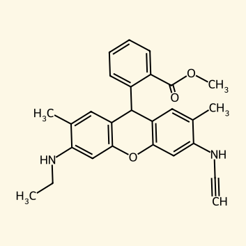 C#CNc1cc2c(cc1C)C(c1ccccc1C(=O)OC)c1cc(C)c(NCC)cc1O2